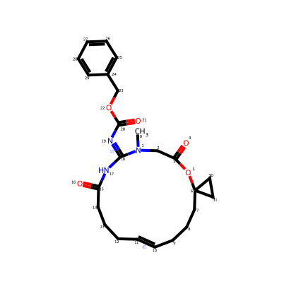 CN1CC(=O)OC2(CCC/C=C/CCCC(=O)N/C1=N/C(=O)OCc1ccccc1)CC2